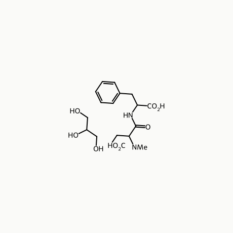 CNC(CC(=O)O)C(=O)NC(Cc1ccccc1)C(=O)O.OCC(O)CO